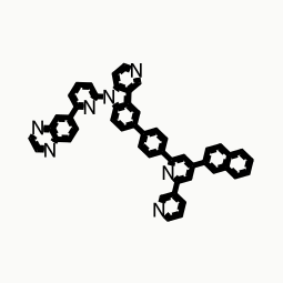 c1cncc(-c2cc(-c3ccc4ccccc4c3)cc(-c3ccc(-c4ccc5c(c4)c4cnccc4n5-c4cccc(-c5ccc6nccnc6c5)n4)cc3)n2)c1